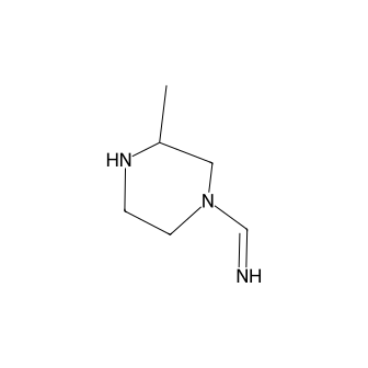 CC1CN(C=N)CCN1